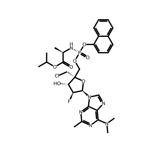 Cc1nc(N(C)C)c2ncn([C@@H]3O[C@](CCl)(CO[P@@](=O)(N[C@H](C)C(=O)OC(C)C)Oc4cccc5ccccc45)[C@@H](O)[C@@H]3F)c2n1